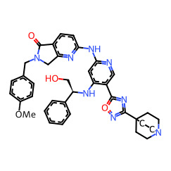 COc1ccc(CN2Cc3nc(Nc4cc(N[C@H](CO)c5ccccc5)c(-c5nc(C67CCN(CC6)CC7)no5)cn4)ccc3C2=O)cc1